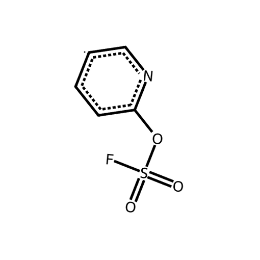 O=S(=O)(F)Oc1cc[c]cn1